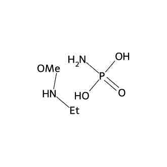 CCNOC.NP(=O)(O)O